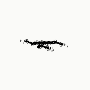 C=CC(=O)OCCCCOC(=O)C1CCC(C(=O)OC2CCC(C(=O)Oc3ccc(OC(=O)C4CCC(OC(=O)C5CCC(C(=O)OCCCCOC(=O)C=C)CC5)CC4)c(/C=N/N(CCCCOC(=O)C(=C)C)c4nc5ccccc5s4)c3)CC2)CC1